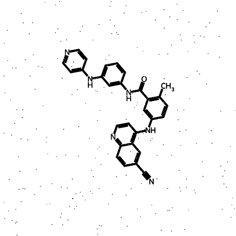 Cc1ccc(Nc2ccnc3ccc(C#N)cc23)cc1C(=O)Nc1cccc(Nc2ccncc2)c1